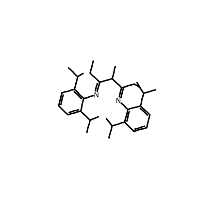 CCC(=Nc1c(C(C)C)cccc1C(C)C)C(C)C(CC)=Nc1c(C(C)C)cccc1C(C)C